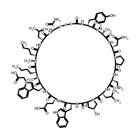 CCCC[C@H]1C(=O)N(C)[C@@H](CCCC)C(=O)N[C@@H](CC(C)C)C(=O)N[C@H](C(N)=O)CSCC(=O)N[C@@H](Cc2ccc(O)cc2)C(=O)N(C)[C@@H](C)C(=O)N[C@@H](CC(N)=O)C(=O)N2CCC[C@H]2C(=O)N[C@@H](CN)C(=O)N[C@@H](CC(C)C)C(=O)N2C[C@H](O)C[C@H]2C(=O)N[C@@H](Cc2c[nH]c3ccccc23)C(=O)N[C@@H](CCC(=O)O)C(=O)N[C@@H](Cc2cn(CC(=O)O)c3ccccc23)C(=O)N1C